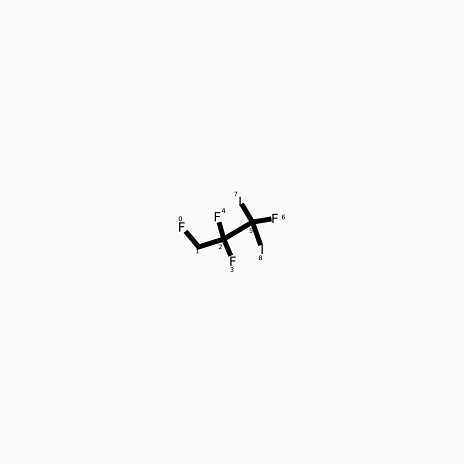 FCC(F)(F)C(F)(I)I